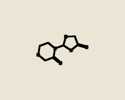 O=C1COC(N2CCOCC2=O)[N]1